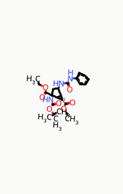 CCOC(=O)[C@H]1C2C(NC(=O)Nc3ccccc3)CC(NC(=O)OC(C)(C)C)(C(=O)OCC)C21